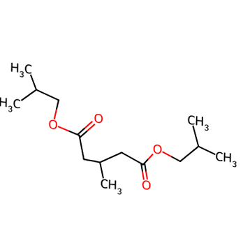 CC(C)COC(=O)CC(C)CC(=O)OCC(C)C